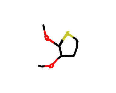 COC1CCSC1OC